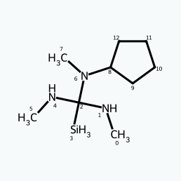 CNC([SiH3])(NC)N(C)C1CCCC1